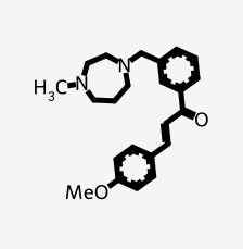 COc1ccc(C=CC(=O)c2cccc(CN3CCCN(C)CC3)c2)cc1